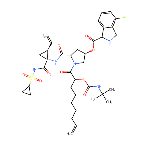 C=CCCCCCC(OC(=O)NC(C)(C)C)C(=O)N1C[C@H](OC(=O)C2NCc3c(F)cccc32)C[C@H]1C(=O)N[C@]1(C(=O)NS(=O)(=O)C2CC2)C[C@H]1C=C